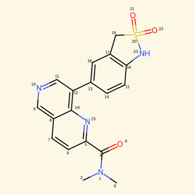 CN(C)C(=O)c1ccc2cncc(-c3ccc4c(c3)CS(=O)(=O)N4)c2n1